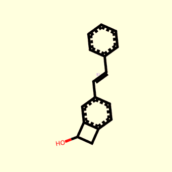 OC1Cc2ccc(/C=C/c3ccccc3)cc21